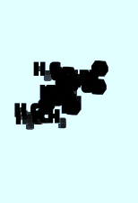 COc1ccccc1Oc1c(NS(=O)(=O)c2ccc(C(C)(C)C)cc2)nc(-c2ncccn2)nc1OCCC(=O)NC(c1ccccc1)c1ccccc1